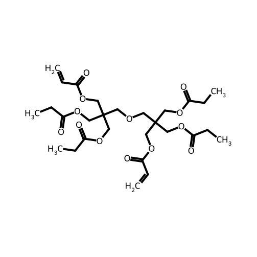 C=CC(=O)OCC(COCC(COC(=O)C=C)(COC(=O)CC)COC(=O)CC)(COC(=O)CC)COC(=O)CC